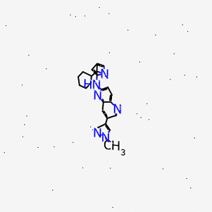 Cn1cc(-c2cnc3ccc(Nc4cc5cn4C5C4CCCCC4)nc3c2)cn1